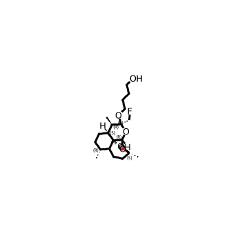 C[C@@H]1CC[C@H]2[C@@H](C)[C@@](CF)(OCCCCO)O[C@@H]3O[C@]4(C)CCC1[C@]32OO4